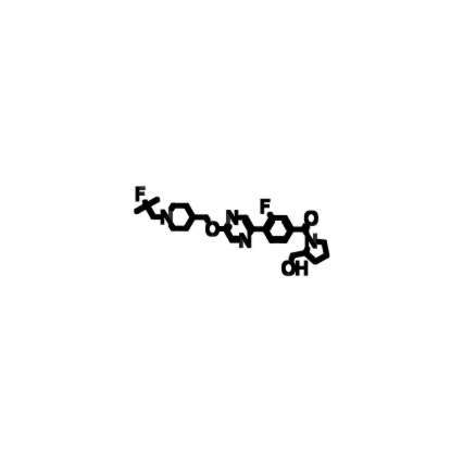 CC(C)(F)CN1CCC(COc2cnc(-c3ccc(C(=O)N4CCCC4CO)cc3F)cn2)CC1